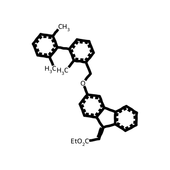 CCOC(=O)C=C1c2ccccc2-c2cc(OCc3cccc(-c4c(C)cccc4C)c3C)ccc21